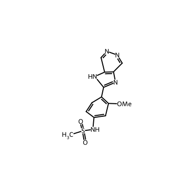 COc1cc(NS(C)(=O)=O)ccc1-c1nc2cnncc2[nH]1